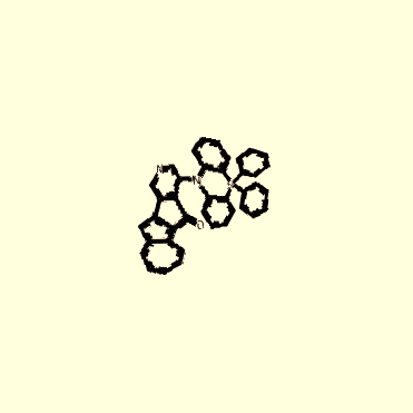 O=C1c2c3cccccc-3cc2-c2cncc(N3c4ccccc4[Si](c4ccccc4)(c4ccccc4)c4ccccc43)c21